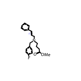 COC(=O)CCCN(C/C=C/c1ccccc1)Cc1ccc(F)cc1